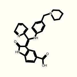 O=C1Nc2ccc(C(=O)O)cc2C1=C(Nc1ccc(CN2CCCCC2)cc1)c1ccccn1